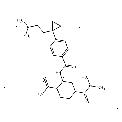 CN(C)CCC1(c2ccc(C(=O)NC3CC(C(=O)N(C)C)CCC3C(N)=O)cc2)CC1